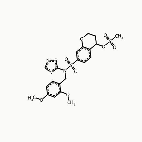 COc1ccc(CN(c2ncns2)S(=O)(=O)c2ccc3c(c2)OCCC3OS(C)(=O)=O)c(OC)c1